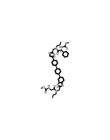 CCCN(Cc1nc2ccc(-c3ccc(-c4ccc(-c5cnc(CN(CCC)C(=O)[C@H](NC(=O)OC)c6ccccc6)[nH]5)cc4)cc3)cc2[nH]1)C(=O)CNC(=O)OC